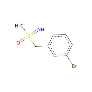 CS(=N)(=O)Cc1cccc(Br)c1